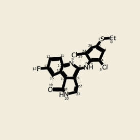 CCSc1cc(Cl)c(Nc2nc3ccc(F)cc3c3c(=O)[nH]ccc23)c(Cl)c1